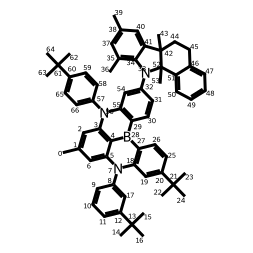 Cc1cc2c3c(c1)N(c1cccc(C(C)(C)C)c1)c1cc(C(C)(C)C)ccc1B3c1ccc(N3c4c(C)cc(C)cc4C4(C)CCc5ccccc5C34C)cc1N2c1ccc(C(C)(C)C)cc1